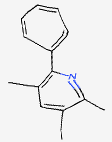 Cc1cc(C)c(-c2ccccc2)nc1C